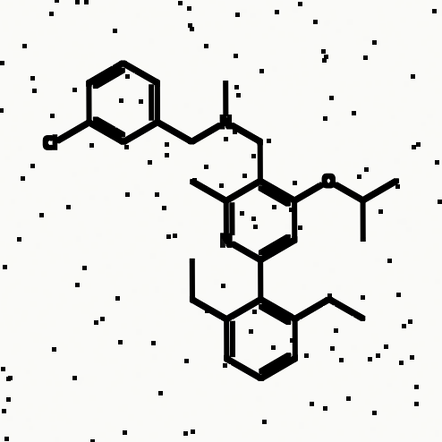 CCc1cccc(CC)c1-c1cc(OC(C)C)c(CN(C)Cc2cccc(Cl)c2)c(C)n1